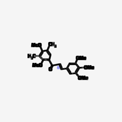 COc1cc(/C=C/C(=O)c2cc(C)c(OC)c(C)c2OC)cc(OC)c1OC